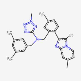 CCc1c(-c2ccc(C(F)(F)F)cc2CN(Cc2cc(C(F)(F)F)cc(C(F)(F)F)c2)c2nnn(C)n2)nc2cc(C)ccn12